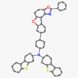 c1ccc(-c2nc3c(ccc4oc5cc(-c6ccc(N(c7ccc8c(c7)sc7ccccc78)c7ccc8c(c7)sc7ccccc78)cc6)ccc5c43)o2)cc1